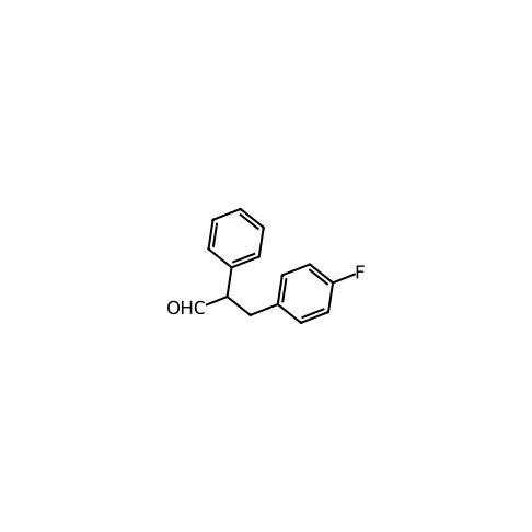 O=CC(Cc1ccc(F)cc1)c1ccccc1